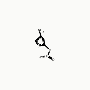 Nc1csc(O[PH](=O)O)c1